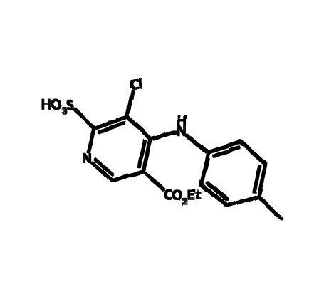 CCOC(=O)c1cnc(S(=O)(=O)O)c(Cl)c1Nc1ccc(C)cc1